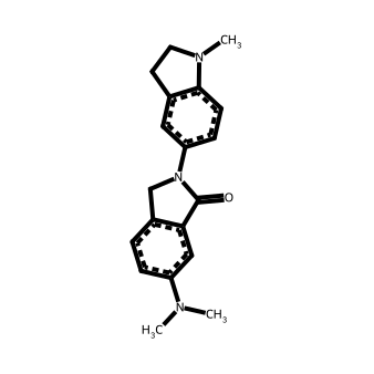 CN(C)c1ccc2c(c1)C(=O)N(c1ccc3c(c1)CCN3C)C2